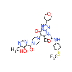 CCc1c(N2CCN(C(=O)c3ncnc(C)c3O)CC2)c(=O)n2nc(C3=CCOCC3)nc2n1CC(=O)Nc1ccc(SC(F)(F)F)cc1